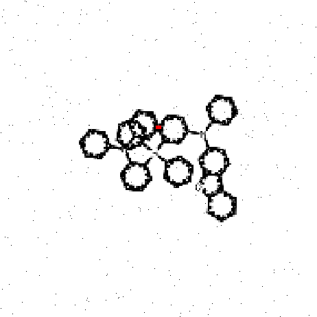 c1ccc(N(c2cccc([Si](c3ccccc3)(c3ccccc3)c3ccccc3N(c3ccccc3)c3ccccc3)c2)c2ccc3c(c2)oc2ccccc23)cc1